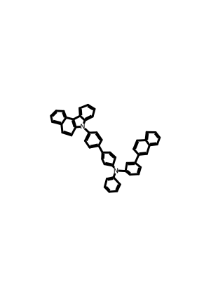 c1ccc(N(c2ccc(-c3ccc(-n4c5ccccc5c5c6ccccc6ccc54)cc3)cc2)c2cccc(-c3ccc4ccccc4c3)c2)cc1